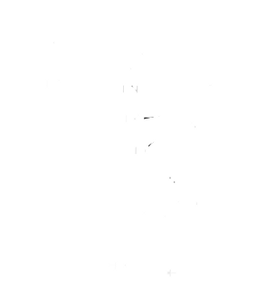 O=C(NC[C@H]1OC(CO)[C@@](O)(CNC(=O)c2ccc(O)c(O)c2)[C@@H]1O)c1ccc(O)c(O)c1